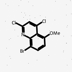 COc1ccc(Br)c2nc(Cl)cc(Cl)c12